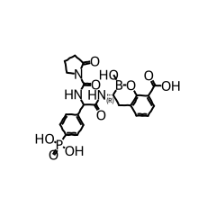 O=C(O)c1cccc2c1OB(O)[C@@H](NC(=O)C(NC(=O)N1CCCC1=O)c1ccc(P(=O)(O)O)cc1)C2